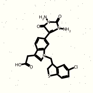 Nn1cc(-c2ccc3c(CC(=O)O)cn(CC4CSc5ccc(Cl)cc54)c3c2)c(=O)n(N)c1=O